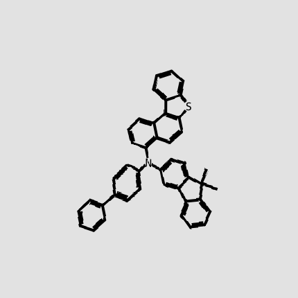 CC1(C)c2ccccc2-c2cc(N(c3ccc(-c4ccccc4)cc3)c3cccc4c3ccc3sc5ccccc5c34)ccc21